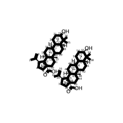 C=C(C)[C@@H]1CC[C@]2(C(=O)O)CC[C@]3(C)[C@H](CC[C@@H]4[C@@]5(C)CCC(O)C(C)(C)[C@@H]5CC[C@]43C)[C@@H]12.C=C(C)[C@@H]1CC[C@]2(C(=O)O)CC[C@]3(C)[C@H](CC[C@@H]4[C@@]5(C)CC[C@H](O)C(C)(C)[C@@H]5CC[C@]43C)[C@@H]12